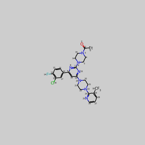 CCC(=O)N1CCN(c2nc(-c3ccc(F)c(Cl)c3)cc(N3CCN(c4ncccc4C(F)(F)F)CC3)n2)CC1